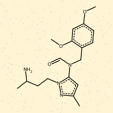 COc1ccc(CN(C=O)c2cc(C)nn2CCC(C)N)c(OC)c1